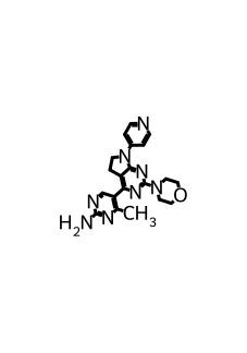 Cc1nc(N)ncc1-c1nc(N2CCOCC2)nc2c1CCN2c1ccncc1